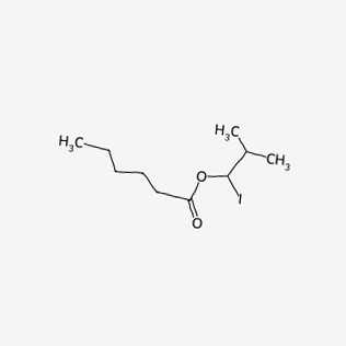 CCCCCC(=O)OC(I)C(C)C